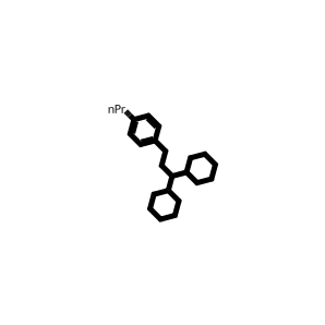 CCCc1ccc(CCC(C2CCCCC2)C2CCCCC2)cc1